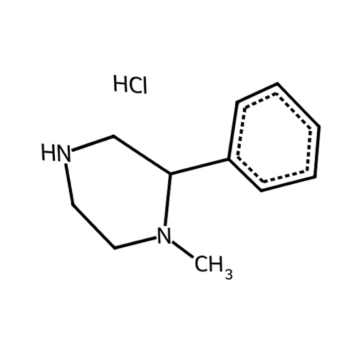 CN1CCNCC1c1ccccc1.Cl